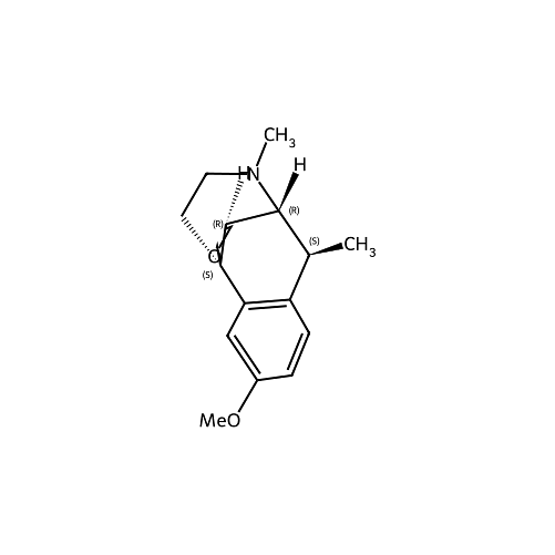 COc1ccc2c(c1)[C@]13CCN(C)[C@H]([C@H]2C)[C@@H]1CCOC3